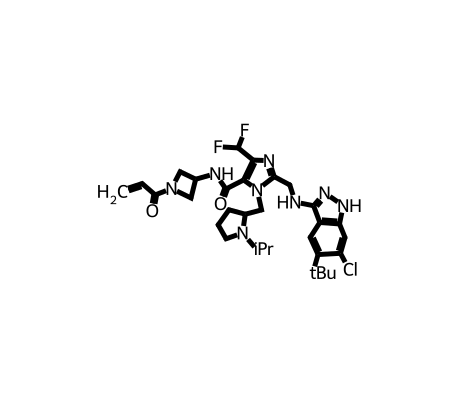 C=CC(=O)N1CC(NC(=O)c2c(C(F)F)nc(CNc3n[nH]c4cc(Cl)c(C(C)(C)C)cc34)n2CC2CCCN2C(C)C)C1